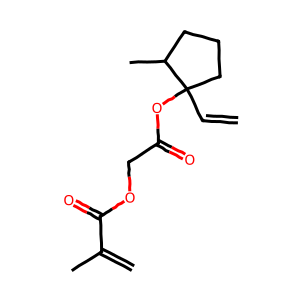 C=CC1(OC(=O)COC(=O)C(=C)C)CCCC1C